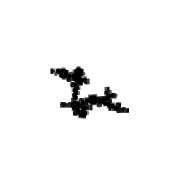 COc1cc2c(cc1OCCCCCC(=O)N1C[C@@H](CCl)c3c1cc(OC(=O)N1CCN(C)CC1)c1ccccc31)N(C(=O)OCc1ccc(NC(=O)[C@H](CCCCNC(=O)OC(C)(C)C)NC(=O)[C@@H](N)C(C)C)cc1)[C@@H](O)C1CCCN1C2=O